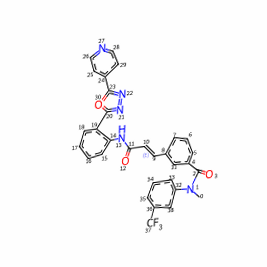 CN(C(=O)c1cccc(/C=C/C(=O)Nc2ccccc2-c2nnc(-c3ccncc3)o2)c1)c1cccc(C(F)(F)F)c1